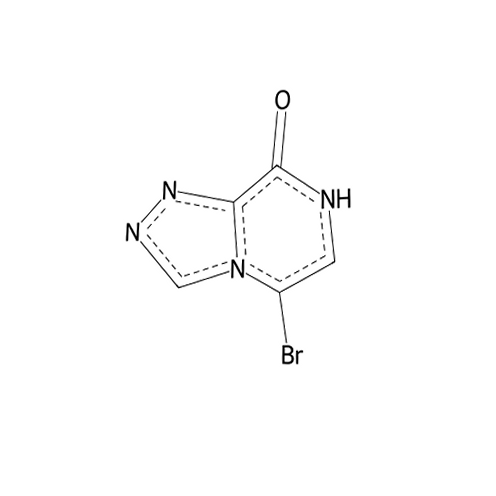 O=c1[nH]cc(Br)n2cnnc12